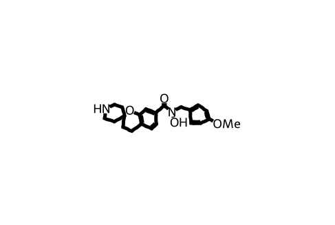 COc1ccc(CN(O)C(=O)c2ccc3c(c2)OC2(CCNCC2)CC3)cc1